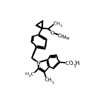 COOC(C)C1(c2ccc(Cn3c(C)c(C)c4cc(C(=O)O)ccc43)cc2)CC1